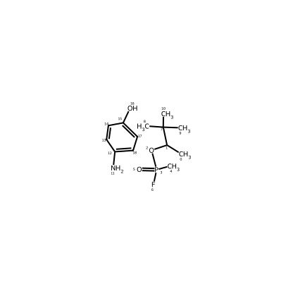 CC(OP(C)(=O)F)C(C)(C)C.Nc1ccc(O)cc1